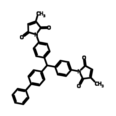 CC1=CC(=O)N(c2ccc(C(c3ccc(-c4ccccc4)cc3)c3ccc(N4C(=O)C=C(C)C4=O)cc3)cc2)C1=O